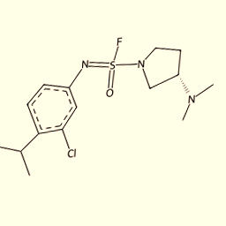 CC(C)c1ccc(N=S(=O)(F)N2CC[C@H](N(C)C)C2)cc1Cl